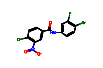 O=C(Nc1ccc(Br)c(F)c1)c1ccc(Cl)c([N+](=O)[O-])c1